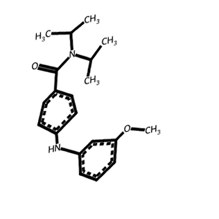 COc1cccc(Nc2ccc(C(=O)N(C(C)C)C(C)C)cc2)c1